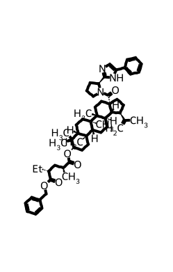 C=C(C)[C@@H]1CC[C@]2(C(=O)N3CCC[C@H]3c3ncc(-c4ccccc4)[nH]3)CC[C@]3(C)[C@H](CC[C@@H]4[C@@]5(C)CC[C@H](OC(=O)[C@@H](C)C[C@@H](CC)C(=O)OCc6ccccc6)C(C)(C)[C@@H]5CC[C@]43C)[C@@H]12